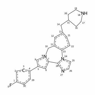 Fc1ccc(-c2cc3n(c2)Cc2cc(CC4CCNCC4)ccc2-n2ccnc2-3)cc1